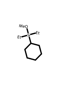 CC[Si](CC)(OC)C1CCCCC1